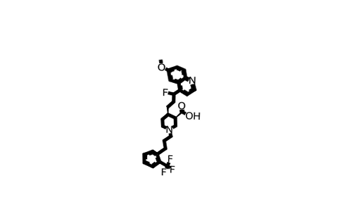 COc1ccc2nccc(C(F)CC[C@@H]3CCN(CCCc4ccccc4C(F)(F)F)C[C@@H]3C(=O)O)c2c1